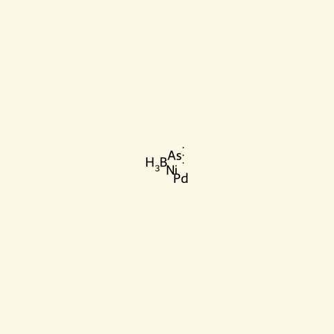 B.[As].[Ni].[Pd]